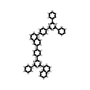 c1ccc(-c2nc(-c3ccccc3)nc(-c3ccc(-c4cccc5cc(-c6ccc(-c7nc(-c8ccccc8)nc(-c8cccc9ccccc89)n7)cc6)ccc45)cc3)n2)cc1